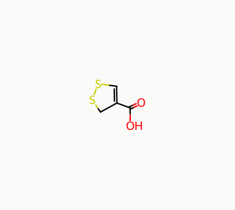 O=C(O)C1=CSSC1